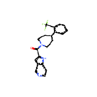 O=C(c1cc2cnccc2[nH]1)N1CCC(c2ccccc2C(F)(F)F)CC1